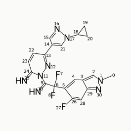 Cn1cc2cc(C(F)(F)C(=N)n3nc(-c4cnn(C5CC5)c4)ccc3=N)c(F)cc2n1